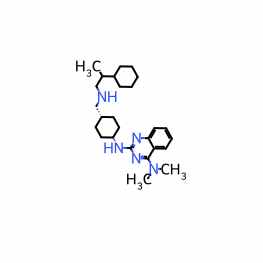 CC(CNC[C@H]1CC[C@@H](Nc2nc(N(C)C)c3ccccc3n2)CC1)C1CCCCC1